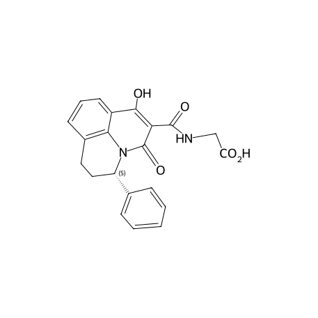 O=C(O)CNC(=O)c1c(O)c2cccc3c2n(c1=O)[C@H](c1ccccc1)CC3